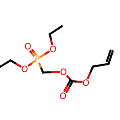 C=CCOC(=O)OCP(=O)(OCC)OCC